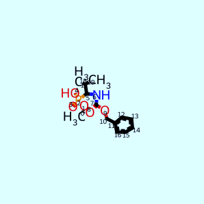 COP(=O)(O)C(NC(=O)OCc1ccccc1)C(C)C